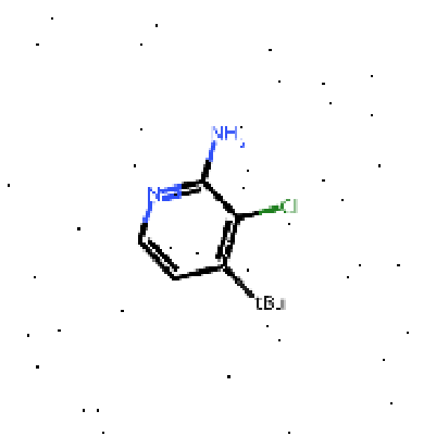 CC(C)(C)c1ccnc(N)c1Cl